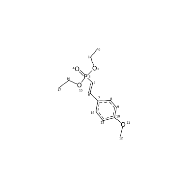 CCOP(=O)(/C=C/c1ccc(OC)cc1)OCC